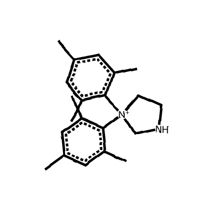 Cc1cc(C)c([N+]2(c3c(C)cc(C)cc3C)CCNC2)c(C)c1